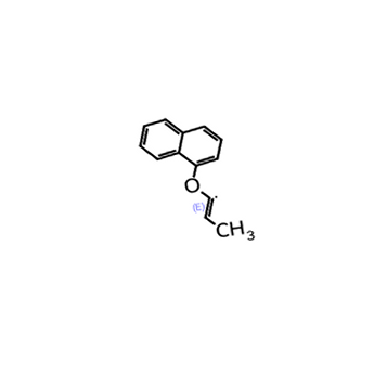 C/C=[C]/Oc1cccc2ccccc12